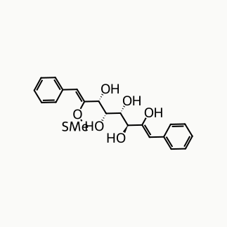 CSOC(=Cc1ccccc1)[C@H](O)[C@@H](O)[C@H](O)[C@H](O)C(O)=Cc1ccccc1